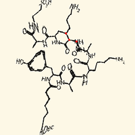 CCCCCCCCCCCCCCCC(=O)NC(Cc1ccc(O)cc1)C(=O)NC(C)C(=O)NC(CCCCN)C(=O)NC(C)C(=O)NC(CCCCN)C(=O)NC(CCCCN)C(=O)NC(C)C(=O)NCCS(=O)(=O)O